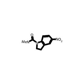 CNC(=O)N1CCc2cc([N+](=O)[O-])ccc21